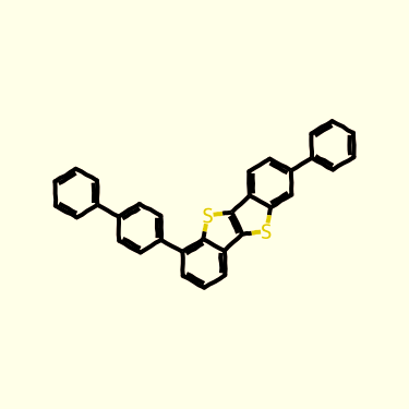 c1ccc(-c2ccc(-c3cccc4c3sc3c5ccc(-c6ccccc6)cc5sc43)cc2)cc1